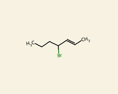 C/C=C/C(Br)CCC